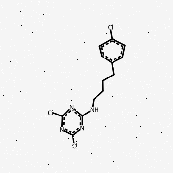 Clc1ccc(CCCCNc2nc(Cl)nc(Cl)n2)cc1